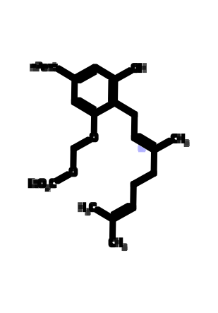 CCCCCc1cc(O)c(C/C=C(\C)CCC=C(C)C)c(OCOC(=O)OCC)c1